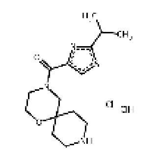 CC(C)c1nc(C(=O)N2CCOC3(CCNCC3)C2)cs1.Cl.Cl